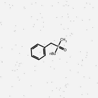 CCCCP(C)(=O)Cc1ccccc1